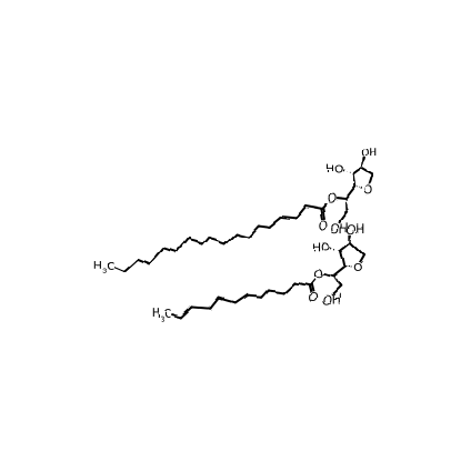 CCCCCCCCCCCC(=O)O[C@H](CO)[C@H]1OC[C@H](O)[C@H]1O.CCCCCCCCCCCCCCCCCC(=O)O[C@H](CO)[C@H]1OC[C@H](O)[C@H]1O